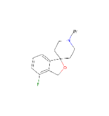 CC(C)N1CCC2(CC1)OCc1c(F)cccc12